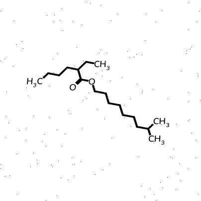 CCCCC(CC)C(=O)OCCCCCCCC(C)C